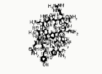 CC[C@H](C)[C@H](NC(=O)[C@@H]1C[C@@H](O)CN1C(=O)[C@@H](N)C(C)C)C(=O)N[C@H](C(=O)N[C@@H](Cc1ccc(O)cc1)C(=O)N[C@@H](CCN)C(=O)N[C@@H](CC(N)=O)C(=O)N[C@@H](CCCNC(=N)N)C(=O)N[C@@H](CCN)C(=O)N[C@H](C(=O)N[C@H](CCN)C(=O)N[C@@H](CCCCN)C(=O)N[C@H](C(=O)N[C@@H](CCCNC(N)=O)C(=O)N[C@@H](CS)C(=O)N[C@@H](Cc1ccc(O)cc1)C(=O)O)[C@@H](C)O)[C@@H](C)O)C(C)(C)S